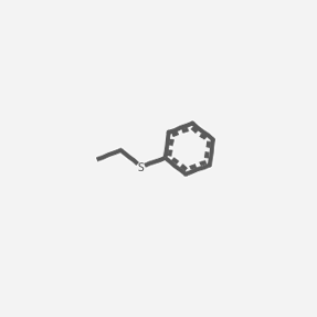 CCSc1ccccc1